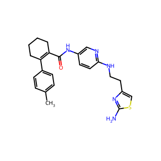 Cc1ccc(C2=C(C(=O)Nc3ccc(NCCc4csc(N)n4)nc3)CCCC2)cc1